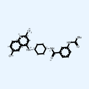 CC(C)(C)C(=O)Nc1cccc(C(=O)N[C@H]2CC[C@@H](Nc3cc(C(F)(F)F)nc4ccc(Cl)cc34)CC2)c1